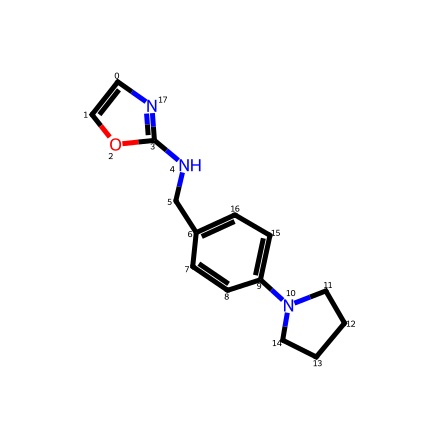 c1coc(NCc2ccc(N3CCCC3)cc2)n1